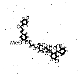 COc1cc(/C=C/C(=O)c2ccc(F)cc2)ccc1OCCCCN1CCN(CC(=O)Nc2ccc(Cl)cc2C(=O)c2ccccc2Cl)CC1